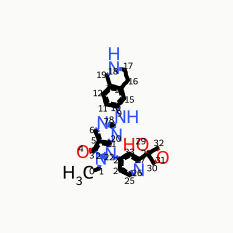 CCn1c(=O)c2cnc(Nc3ccc4c(c3)CCNC4)nc2n1-c1ccnc(C2(O)COC2)c1